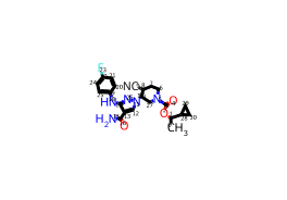 CC(OC(=O)N1CCC(C#N)[C@H](n2cc(C(N)=O)c(Nc3ccc(F)cc3)n2)C1)C1CC1